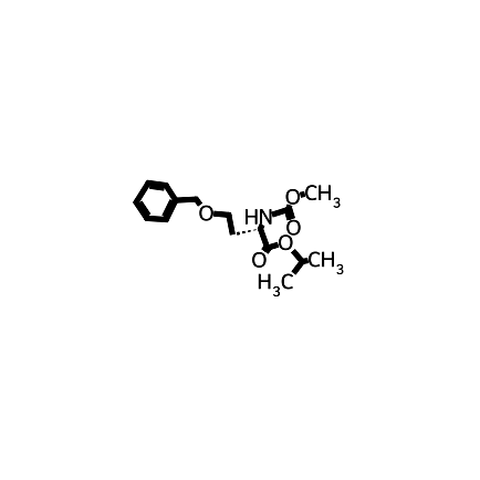 COC(=O)N[C@@H](CCOCc1ccccc1)C(=O)OC(C)C